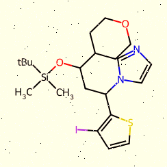 CC(C)(C)[Si](C)(C)OC(CC(c1sccc1I)n1ccnc1)C1CCOCC1